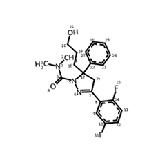 CN(C)C(=O)N1N=C(c2cc(F)ccc2F)CC1(CCCO)c1ccccc1